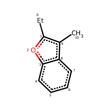 [CH2]Cc1oc2ccccc2c1C